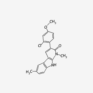 COc1ccc(-c2cc3c4cc(C)ccc4[nH]c3n(C)c2=O)c(Cl)c1